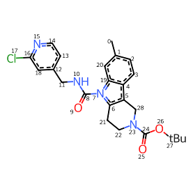 Cc1ccc2c3c(n(C(=O)NCc4ccnc(Cl)c4)c2c1)CCN(C(=O)OC(C)(C)C)C3